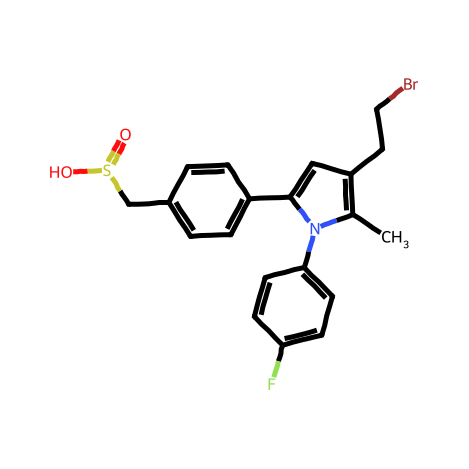 Cc1c(CCBr)cc(-c2ccc(CS(=O)O)cc2)n1-c1ccc(F)cc1